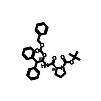 CC(C)(C)OC(=O)N1CCC[C@H]1C(=O)N[C@H](OC(=O)OCc1ccccc1)C(c1ccccc1)c1ccccc1